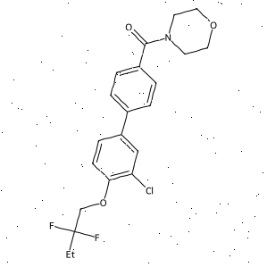 CCC(F)(F)COc1ccc(-c2ccc(C(=O)N3CCOCC3)cc2)cc1Cl